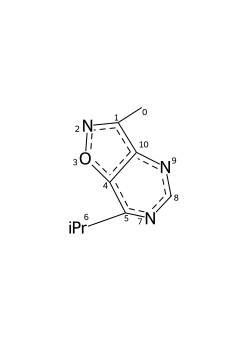 Cc1noc2c(C(C)C)ncnc12